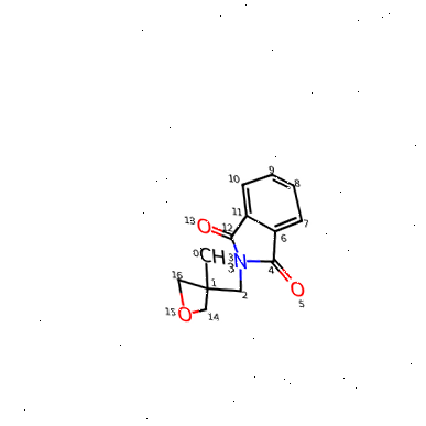 CC1(CN2C(=O)c3ccccc3C2=O)COC1